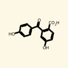 O=C(O)c1ccc(O)cc1C(=O)c1ccc(O)cc1